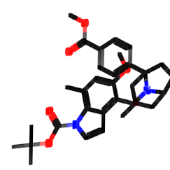 COC(=O)c1ccc(C23CCC(CC(C)C2)N3Cc2c(OC)cc(C)c3c2ccn3C(=O)OC(C)(C)C)cc1